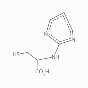 O=C(O)C(CS)Nc1ncccn1